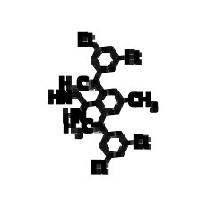 CCc1cc(CC)cc([C@@H](C)c2cc(C)cc([C@H](C)c3cc(CC)cc(CC)c3)c2C(=N)C=N)c1